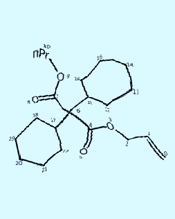 C=CCOC(=O)C(C(=O)OCCC)(C1CCCCC1)C1CCCCC1